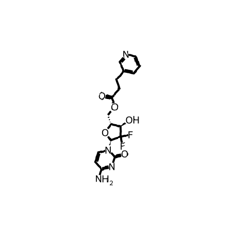 Nc1ccn([C@@H]2O[C@H](COC(=O)CCc3cccnc3)[C@@H](O)C2(F)F)c(=O)n1